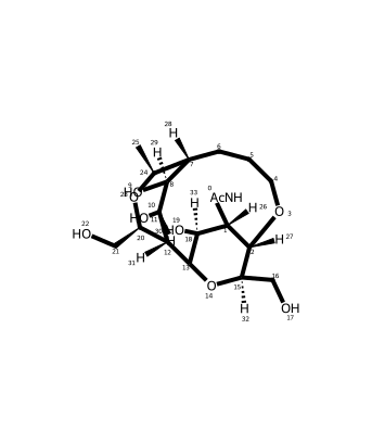 CC(=O)N[C@@H]1[C@@H]2OCCC[C@@H]3[C@H](O)[C@@H](O)[C@H](C(O[C@@H]2CO)[C@H]1O)[C@@H](CO)O[C@H]3C